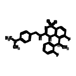 C[C@@H](c1ccccc1F)c1c(F)ccc2c1NC(NCc1ccc(N(C)C)cc1)=NS2(=O)=O